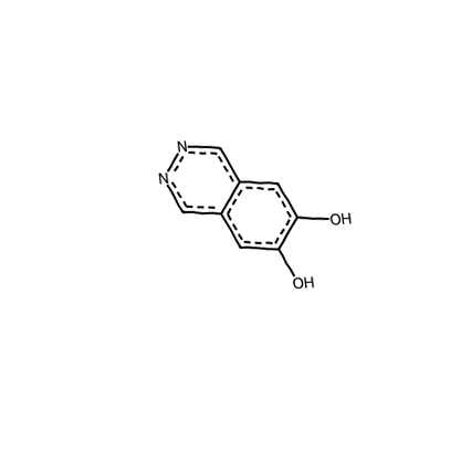 Oc1cc2cnncc2cc1O